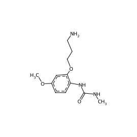 CNC(=O)Nc1ccc(OC)cc1OCCCN